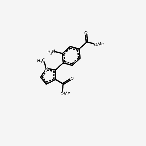 COC(=O)c1ccc(-c2c(C(=O)OC)ccn2C)c(N)c1